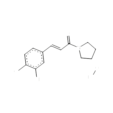 CCO[C@H]1CCN(C(=O)/C=C/c2ccc(Cl)c(Cl)c2)C1